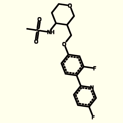 CS(=O)(=O)NC1CCOCC1COc1ccc(-c2ccc(F)cn2)c(F)c1